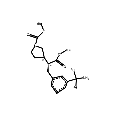 [2H]C([2H])(N)c1cccc(C[C@H](C(=O)OC(C)(C)C)[C@H]2CCN(C(=O)OC(C)(C)C)C2)c1